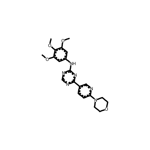 COc1cc(Nc2ncnc(-c3ccc(N4CCOCC4)nc3)n2)cc(OC)c1OC